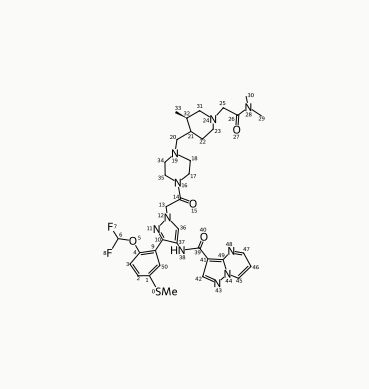 CSc1ccc(OC(F)F)c(-c2nn(CC(=O)N3CCN(CC4CCN(CC(=O)N(C)C)C[C@@H]4C)CC3)cc2NC(=O)c2cnn3cccnc23)c1